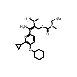 CC[C@H](C)CN(C)C(=O)OC/C(=C(/N)c1ccc(OC2CCCCC2)c(C2CC2)n1)N(C)N